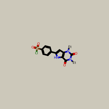 CCn1c(=O)c2[nH]c(-c3ccc(S(=O)(=O)Cl)cc3)cc2n(CC)c1=O